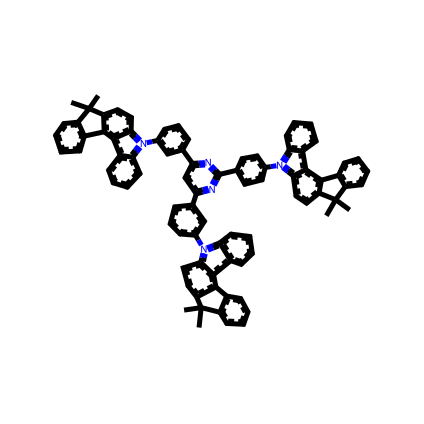 CC1(C)c2ccccc2-c2c1ccc1c2c2ccccc2n1-c1ccc(-c2nc(-c3cccc(-n4c5ccccc5c5c6c(ccc54)C(C)(C)c4ccccc4-6)c3)cc(-c3cccc(-n4c5ccccc5c5c6c(ccc54)C(C)(C)c4ccccc4-6)c3)n2)cc1